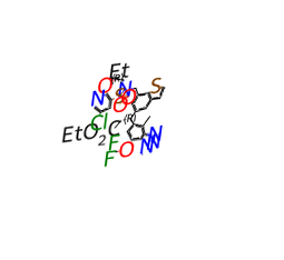 CCOC(=O)C[C@H](c1cc(CN2C[C@@H](CC)Oc3ncc(Cl)cc3S2(=O)=O)c2sccc2c1)c1cc(OC(F)F)c2c(nnn2C)c1C